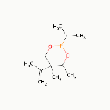 C=C(C)C1(C)COP(C(C)C)OC1C